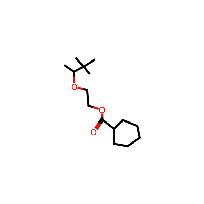 CC(OCCOC(=O)C1CCCCC1)C(C)(C)C